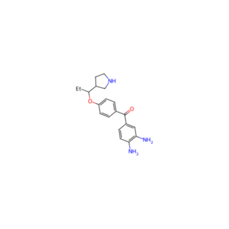 CCC(Oc1ccc(C(=O)c2ccc(N)c(N)c2)cc1)C1CCNC1